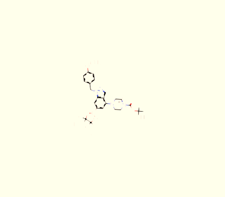 COc1ccc(Cn2ncc3c(N4CCN(C(=O)OC(C)(C)C)[C@H](C)C4)cc(B4OC(C)(C)C(C)(C)O4)cc32)cc1